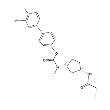 CCC(=O)N[C@H]1CC[C@@H](N(C)C(=O)Oc2ccc(-c3ccc(C)c(F)c3)cc2)C1